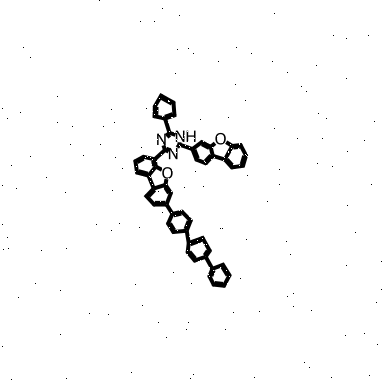 c1ccc(C2=NC(c3cccc4c3oc3cc(-c5ccc(-c6ccc(-c7ccccc7)cc6)cc5)ccc34)=NC(c3ccc4c(c3)oc3ccccc34)N2)cc1